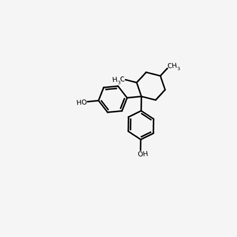 CC1CCC(c2ccc(O)cc2)(c2ccc(O)cc2)C(C)C1